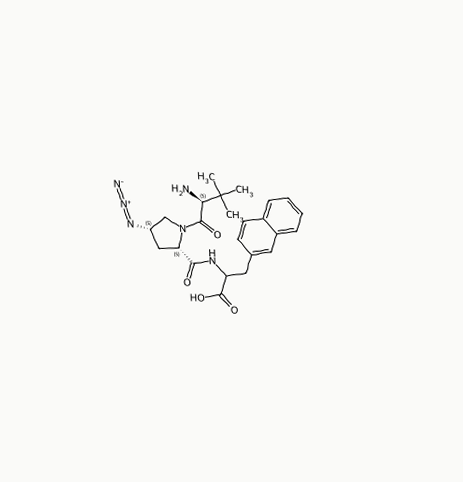 CC(C)(C)[C@H](N)C(=O)N1C[C@@H](N=[N+]=[N-])C[C@H]1C(=O)NC(Cc1ccc2ccccc2c1)C(=O)O